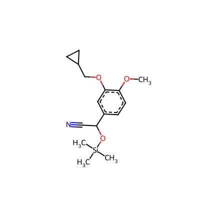 COc1ccc(C(C#N)O[Si](C)(C)C)cc1OCC1CC1